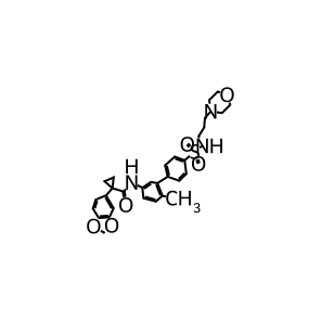 Cc1ccc(NC(=O)C2(c3ccc4c(c3)OCO4)CC2)cc1-c1ccc(S(=O)(=O)NCCCN2CCOCC2)cc1